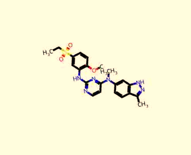 CCS(=O)(=O)c1ccc(OC)c(Nc2nccc(N(C)c3ccc4c(C)n[nH]c4c3)n2)c1